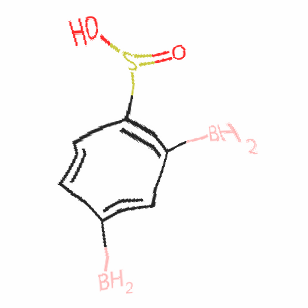 Bc1ccc(S(=O)O)c(B)c1